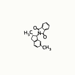 Cc1ccc2c(c1)[C@H](N1C(=O)c3ccccc3C1=O)[C@@H](C)C2